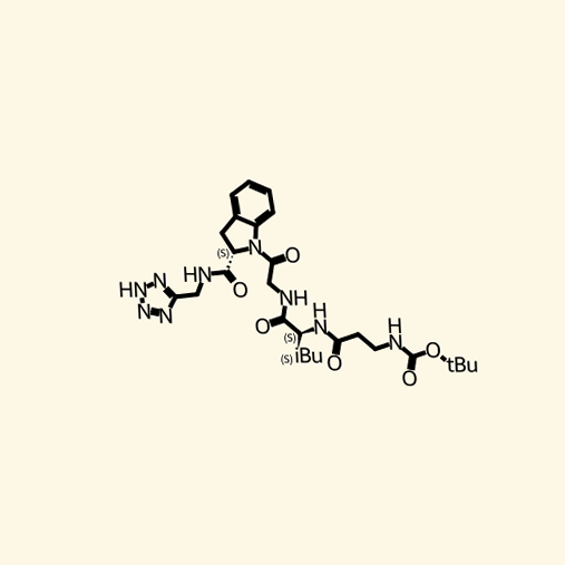 CC[C@H](C)[C@H](NC(=O)CCNC(=O)OC(C)(C)C)C(=O)NCC(=O)N1c2ccccc2C[C@H]1C(=O)NCc1nn[nH]n1